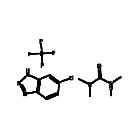 CN(C)C(=O)[NH+](C)C.Clc1ccc2nn[nH]c2c1.F[B-](F)(F)F